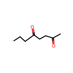 [CH2]CCC(=O)CCC(C)=O